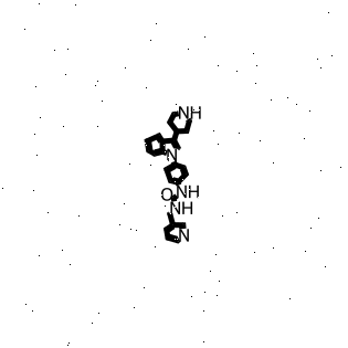 O=C(NCc1cccnc1)Nc1ccc(-n2cc(C3CCNCC3)c3ccccc32)cc1